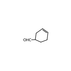 O=[C]C1CC=CCC1